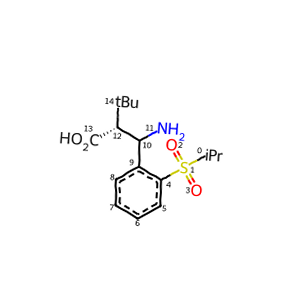 CC(C)S(=O)(=O)c1ccccc1C(N)[C@H](C(=O)O)C(C)(C)C